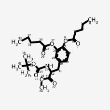 CCCCC(=O)Oc1ccc(CC(NC(=O)OC(C)(C)C)C(=O)OC)cc1OC(=O)CCCC